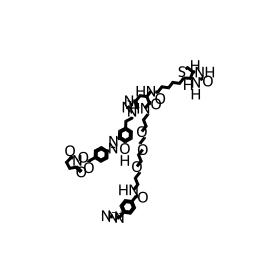 [N-]=[N+]=Nc1ccc(C(=O)NCCCOCCOCCOCCCNC(=O)C(Cc2cn(CCc3ccc(O)c(/N=N/c4ccc(C(=O)ON5C(=O)CCC5=O)cc4)c3)nn2)NC(=O)CCCCC2SC[C@H]3NC(=O)N[C@@H]23)cc1